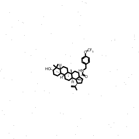 C=C(C)[C@@H]1CC[C@]2(C(=O)NCc3ccc(OC(F)(F)F)cc3)CC[C@]3(C)[C@H](CC[C@@H]4[C@@]5(C)CC[C@H](O)C(C)(C)[C@@H]5CC[C@]43C)[C@@H]12